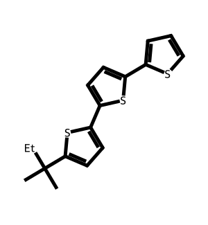 CCC(C)(C)c1ccc(-c2ccc(-c3cccs3)s2)s1